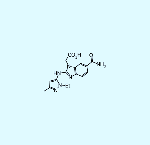 CCn1nc(C)cc1Nc1nc2ccc(C(N)=O)cc2n1CC(=O)O